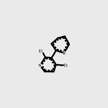 CCc1ccnc(CC)c1-c1bcccc1